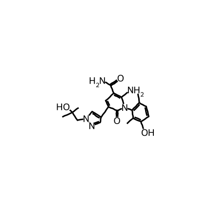 Cc1ccc(O)c(C)c1-n1c(N)c(C(N)=O)cc(-c2cnn(CC(C)(C)O)c2)c1=O